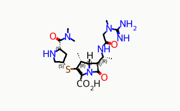 C[C@@H](NC(=O)CN(C)C(=N)N)[C@H]1C(=O)N2C(C(=O)O)=C(S[C@@H]3CN[C@H](C(=O)N(C)C)C3)[C@H](C)[C@H]12